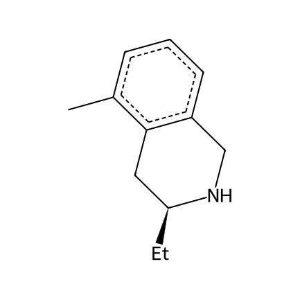 CC[C@H]1Cc2c(C)cccc2CN1